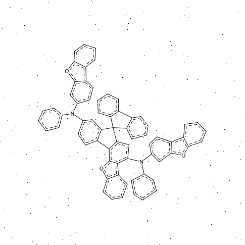 c1ccc(N(c2ccc3c(c2)C2(c4ccccc4-c4ccccc42)c2cc(N(c4ccccc4)c4ccc5c(c4)oc4ccccc45)c4c(oc5ccccc54)c2-3)c2ccc3c(c2)oc2ccccc23)cc1